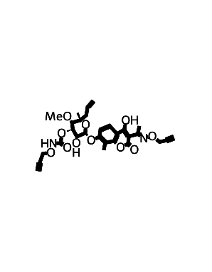 C#CCO/N=C(\C)c1c(O)c2ccc(O[C@@H]3O[C@@](C)(CC=C)[C@H](OC)[C@@H](OC(=O)NOCC#C)[C@H]3O)c(C)c2oc1=O